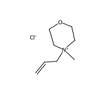 C=CC[N+]1(C)CCOCC1.[Cl-]